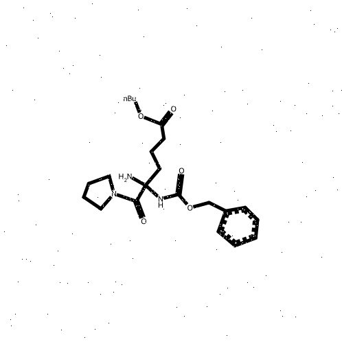 CCCCOC(=O)CCCC(N)(NC(=O)OCc1ccccc1)C(=O)N1CCCC1